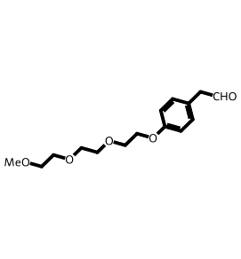 COCCOCCOCCOc1ccc(CC=O)cc1